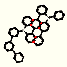 C1=CC(c2cccc(-c3cccc(N(c4ccccc4)c4ccccc4-c4ccc(-c5ccccc5N(c5ccccc5)c5ccc(-c6ccccc6)cc5)cc4)c3)c2)=CCC1